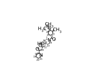 Cc1cc(C(=O)N2CCC(O)(CC(=O)CC(=O)c3ccccn3)CC2)ccc1OC(C)C